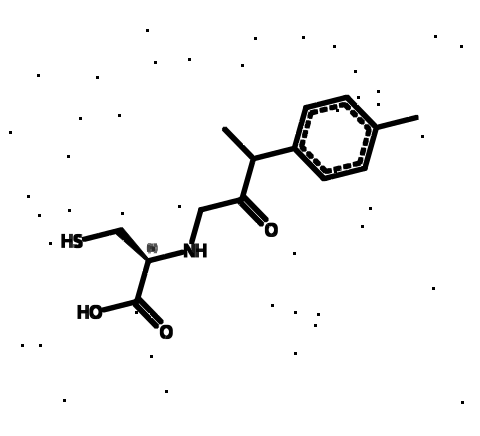 Cc1ccc(C(C)C(=O)CN[C@H](CS)C(=O)O)cc1